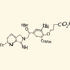 Br.CCc1ccc2c(n1)C(=N)N(CC(=O)c1cc(OC)c(OCCCC(=O)O)c(C(C)(C)C)c1)C2